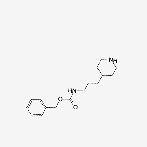 O=C(NCCCC1CCNCC1)OCc1ccccc1